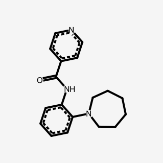 O=C(Nc1ccccc1N1CCCCCC1)c1ccncc1